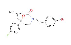 CC(C)(C#N)C[C@@]1(c2ccc(F)cc2)CCN(CCc2ccc(Br)cc2)C(=O)O1